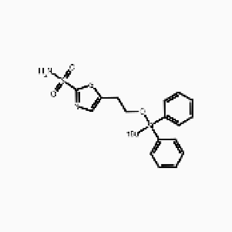 CC(C)(C)[Si](OCCc1cnc(S(N)(=O)=O)s1)(c1ccccc1)c1ccccc1